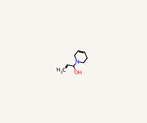 C=CC(O)N1CC=CCC1